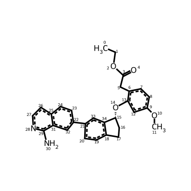 CCOC(=O)Cc1ccc(OC)cc1O[C@@H]1CCc2ccc(-c3ccc4ccnc(N)c4c3)cc21